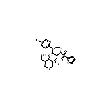 C[C@H]1COCC(CO)N1C[C@H]1CN(S(=O)(=O)c2cccs2)CCN1c1ncc(O)cn1